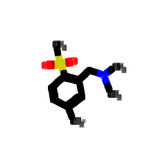 [CH2]c1ccc(S(C)(=O)=O)c(CN(C)C)c1